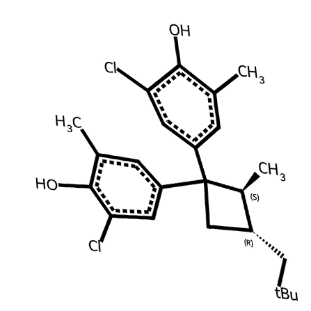 Cc1cc(C2(c3cc(C)c(O)c(Cl)c3)C[C@@H](CC(C)(C)C)[C@@H]2C)cc(Cl)c1O